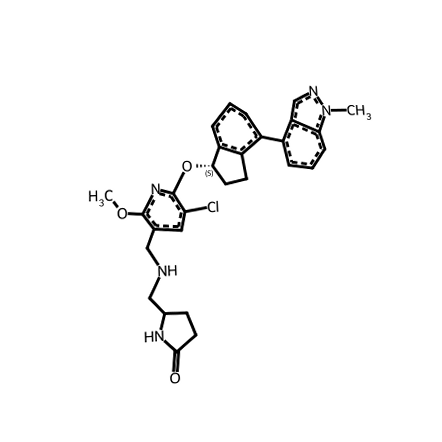 COc1nc(O[C@H]2CCc3c(-c4cccc5c4cnn5C)cccc32)c(Cl)cc1CNCC1CCC(=O)N1